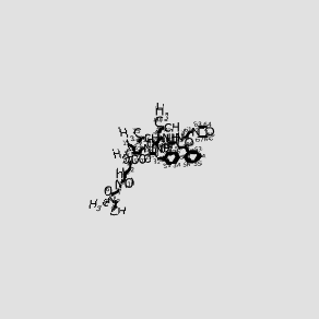 C#CCN(C)C(=O)CNC(=O)CCC(=O)O[C@](C)(CI)C(=O)[C@H](CC(C)C)NC(=O)[C@H](Cc1ccccc1)NC(=O)[C@H](CC(C)C)NC(=O)[C@H](CCc1ccccc1)NC(=O)CN1CCOCC1